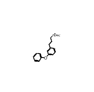 CCCCCCCCCCCCCc1[c]ccc(Oc2cc[c]cc2)c1